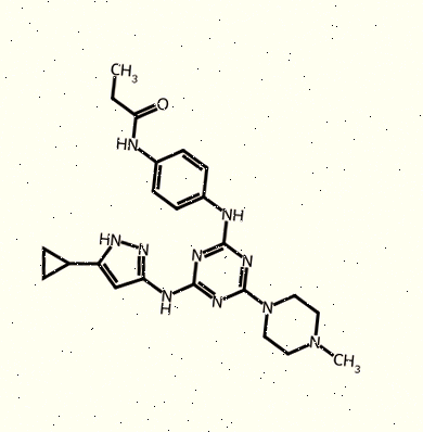 CCC(=O)Nc1ccc(Nc2nc(Nc3cc(C4CC4)[nH]n3)nc(N3CCN(C)CC3)n2)cc1